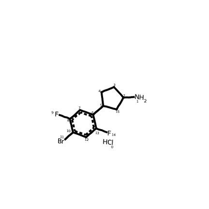 Cl.NC1CCC(c2cc(F)c(Br)cc2F)C1